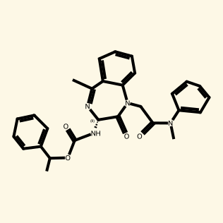 CC1=N[C@@H](NC(=O)OC(C)c2ccccc2)C(=O)N(CC(=O)N(C)c2ccccc2)c2ccccc21